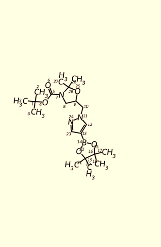 CC(C)(C)OC(=O)N1CC(Cn2cc(B3OC(C)(C)C(C)(C)O3)cn2)OC1(C)C